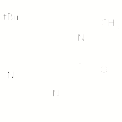 Cn1cc(C(C)(C)C)c2nccnc2c1=O